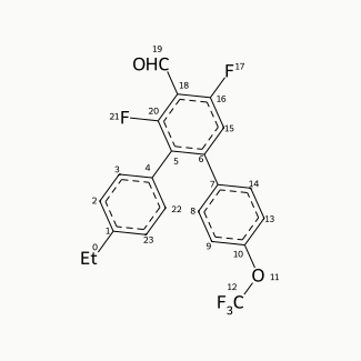 CCc1ccc(-c2c(-c3ccc(OC(F)(F)F)cc3)cc(F)c(C=O)c2F)cc1